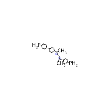 C=C/C(=C\C=C(/C)c1ccc(-c2ccc(P)cc2)cc1)c1ccc(P)cc1